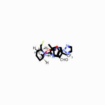 Cc1cc(-n2nccn2)c(C=O)nc1N1[C@H](CF)[C@@H]2CC[C@H]1[C@H](Oc1ccc(C(F)(F)F)cn1)C2